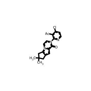 CC(=O)c1c(Cl)ccnc1-n1ccn2c3c(cc2c1=O)CC(C)(C)C3